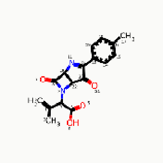 C=C(C)C(C(=O)O)N1C(=O)C2N=C(c3ccc(C)cc3)C(=O)C21